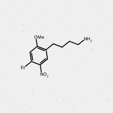 CCc1cc(OC)c(CCCCN)cc1[N+](=O)[O-]